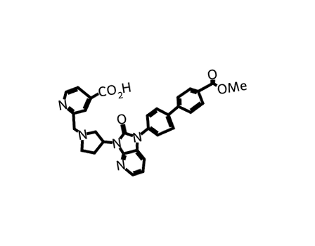 COC(=O)c1ccc(-c2ccc(-n3c(=O)n(C4CCN(Cc5cc(C(=O)O)ccn5)C4)c4ncccc43)cc2)cc1